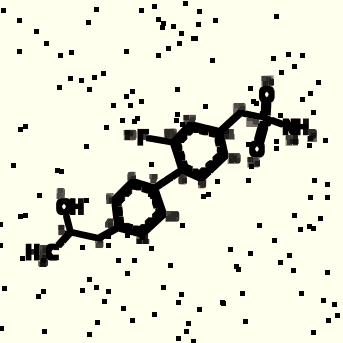 CC(O)Cc1ccc(-c2ccc(CS(N)(=O)=O)cc2F)cc1